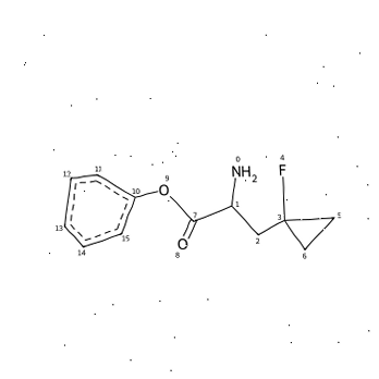 NC(CC1(F)CC1)C(=O)Oc1ccccc1